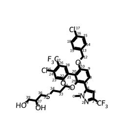 Cn1nc(C(F)(F)F)cc1-c1ccc(OCc2ccc(Cl)cc2)c(-c2ccc(Cl)c(C(F)(F)F)c2)c1OC(=O)CCSCC(O)CO